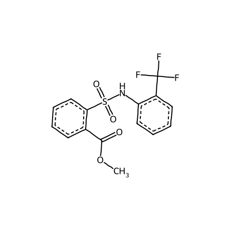 COC(=O)c1ccccc1S(=O)(=O)Nc1ccccc1C(F)(F)F